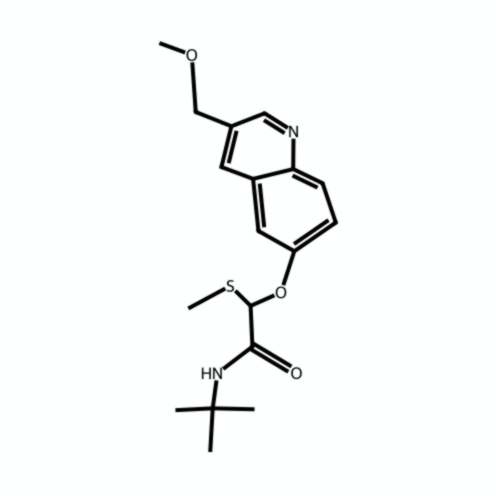 COCc1cnc2ccc(OC(SC)C(=O)NC(C)(C)C)cc2c1